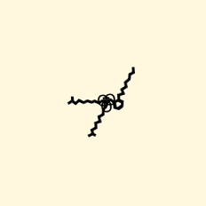 CCCCCCCCCc1ccccc1OP(OCCCCCCCC(C)C)OCCCCCCCC(C)C